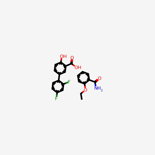 CCOc1ccccc1C(N)=O.O=C(O)c1cc(-c2ccc(F)cc2F)ccc1O